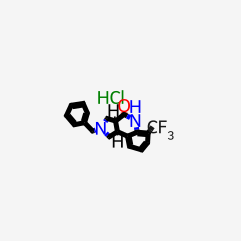 Cl.O=C1Nc2c(cccc2C(F)(F)F)[C@H]2CN(Cc3ccccc3)C[C@@H]12